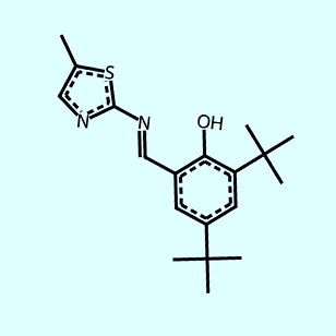 Cc1cnc(/N=C/c2cc(C(C)(C)C)cc(C(C)(C)C)c2O)s1